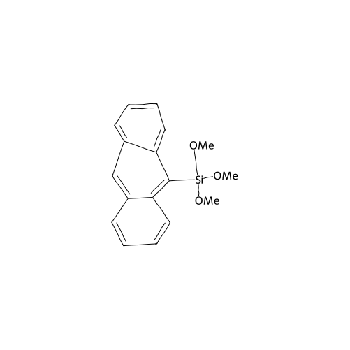 CO[Si](OC)(OC)c1c2ccccc2cc2ccccc12